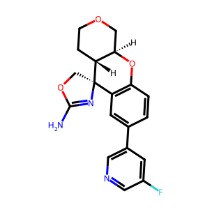 NC1=N[C@]2(CO1)c1cc(-c3cncc(F)c3)ccc1O[C@@H]1COCC[C@H]12